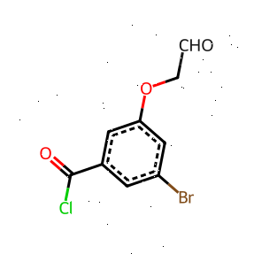 O=CCOc1cc(Br)cc(C(=O)Cl)c1